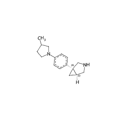 CC1CCN(c2ccc([C@]34CNC[C@H]3C4)cc2)C1